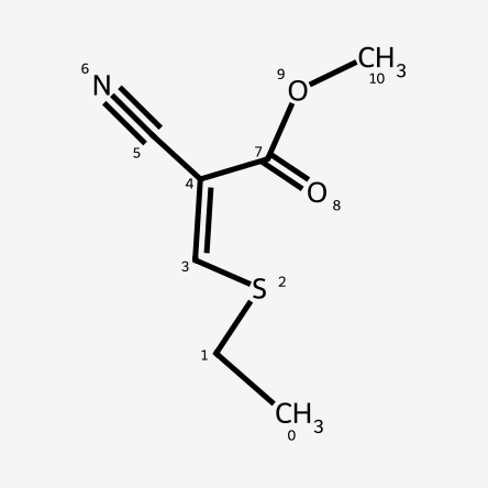 CCSC=C(C#N)C(=O)OC